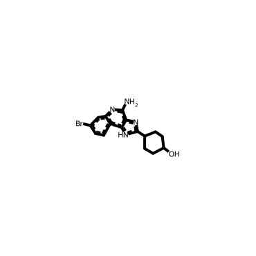 Nc1nc2cc(Br)ccc2c2[nH]c(C3CCC(O)CC3)nc12